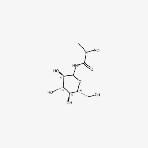 CN(N=O)C(=O)NC1O[C@H](CO)[C@@H](O)[C@H](O)[C@H]1O